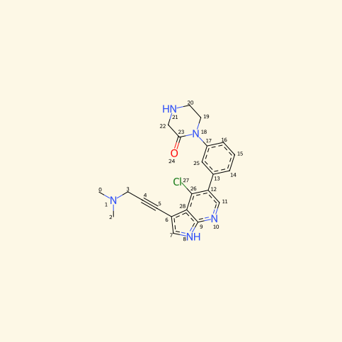 CN(C)CC#Cc1c[nH]c2ncc(-c3cccc(N4CCNCC4=O)c3)c(Cl)c12